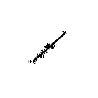 CC(C)(C)OC(=O)CCCCCCCCCCCCCCCCC(=O)N[C@H](CCC(=O)N[C@H](CCC(=O)NCCOCCOCC(=O)NCCOCCOCC(=O)O)C(=O)OC(C)(C)C)C(=O)OC(C)(C)C